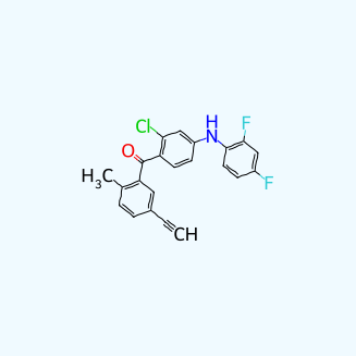 C#Cc1ccc(C)c(C(=O)c2ccc(Nc3ccc(F)cc3F)cc2Cl)c1